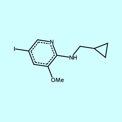 COc1cc(I)cnc1NCC1CC1